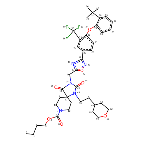 CCCCOC(=O)N1CCC2(CC1)C(=O)N(Cc1nc(-c3ccc(Oc4ccccc4C(C)(C)C)c(C(F)(F)F)c3)no1)C(=O)N2CCC1CCOCC1